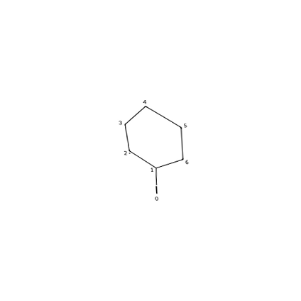 IC1[CH]CCCC1